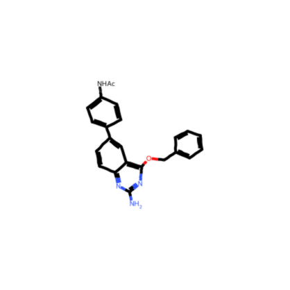 CC(=O)Nc1ccc(-c2ccc3nc(N)nc(OCc4ccccc4)c3c2)cc1